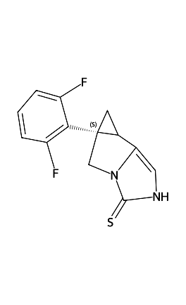 Fc1cccc(F)c1[C@]12CC1c1c[nH]c(=S)n1C2